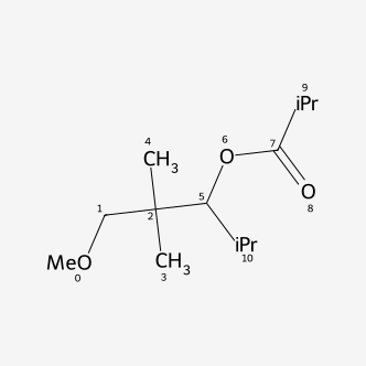 COCC(C)(C)C(OC(=O)C(C)C)C(C)C